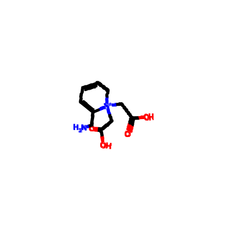 NCC1=CC=CC[N+]1(CC(=O)O)CC(=O)O